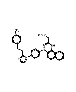 CCOC(=O)CC(=O)Nc1c(Nc2ccc(-n3ccnc3CCc3ccc(C(F)(F)F)cc3)cc2)ccc2ccccc12